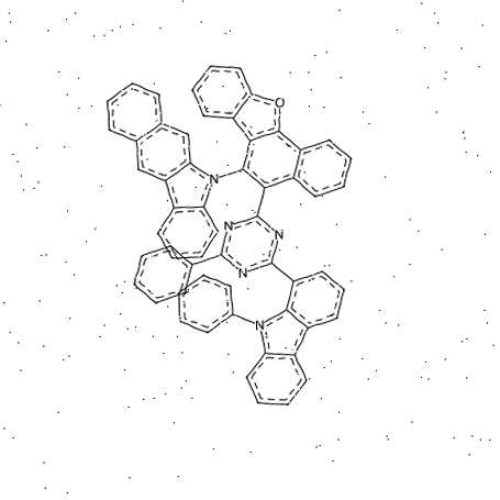 c1ccc(-c2nc(-c3c(-n4c5ccccc5c5cc6ccccc6cc54)c4c5ccccc5oc4c4ccccc34)nc(-c3cccc4c5ccccc5n(-c5ccccc5)c34)n2)cc1